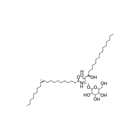 CCCCCCCC/C=C\CCCCCCCCCC(=O)N[C@@H](COC1OC(CO)C(O)C(O)C1O)[C@H](O)[C@H](O)CCCCCCCCCCCCCC